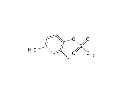 Cc1ccc(OS(C)(=O)=O)c(F)c1